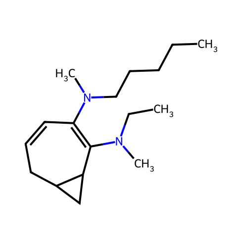 CCCCCN(C)C1=C(N(C)CC)C2CC2CC=C1